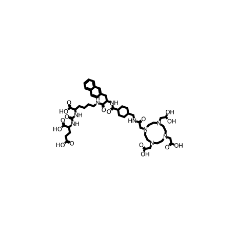 O=C(O)CCC(NC(=O)NC(CCCCNC(=O)C(Cc1ccc2ccccc2c1)NC(=O)C1CCC(CNC(=O)CN2CCN(CC(=O)O)CCN(CC(=O)O)CCN(CC(O)O)CC2)CC1)C(=O)O)C(=O)O